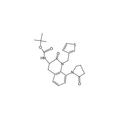 CC(C)(C)OC(=O)NC1Cc2cccc(N3CCCC3=O)c2N(Cc2ccsc2)C1=O